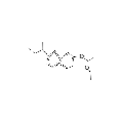 CCOC(C)Oc1ccc2ccc(C(C)CC)cc2c1